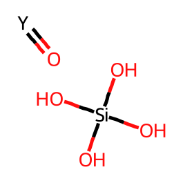 O[Si](O)(O)O.[O]=[Y]